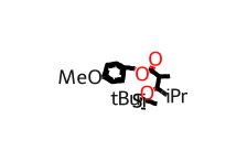 COc1ccc(COC(=O)C(C)C(O[Si](C)(C)C(C)(C)C)C(C)C)cc1